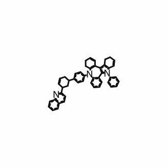 C1=CC2=C(CC1)N(c1ccc(C3CC=CC(c4ccc5ccccc5n4)C3)cc1)c1ccccc1-c1c2c2c(n1-c1ccccc1)C=CCC2